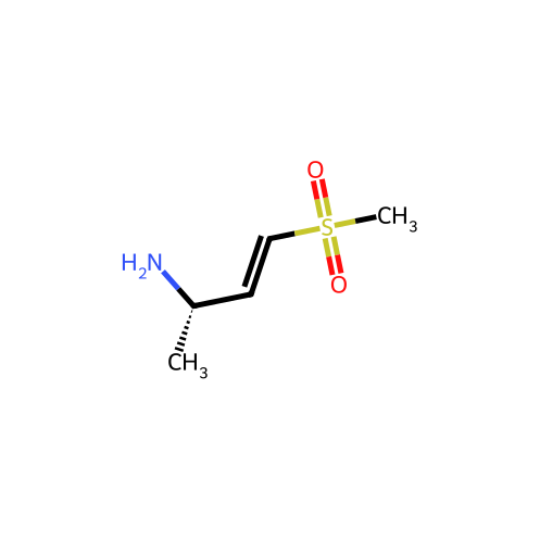 C[C@H](N)C=CS(C)(=O)=O